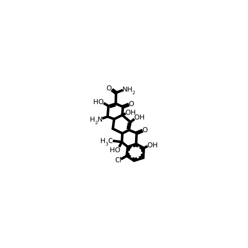 CC1(O)c2c(Cl)ccc(O)c2C(=O)C2=C(O)C3(O)C(=O)C(C(N)=O)=C(O)C(N)C3CC21